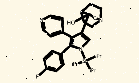 CC(C)[Si](C(C)C)(C(C)C)n1cc(C2(O)CN3CCC2CC3)c(-c2ccncc2)c1-c1ccc(F)cc1